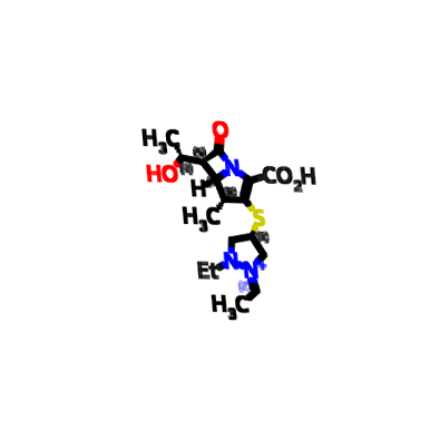 C/C=[N+]1/C[C@H](SC2=C(C(=O)O)N3C(=O)[C@H]([C@@H](C)O)[C@H]3[C@H]2C)CN1CC